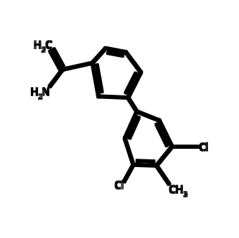 C=C(N)c1cccc(-c2cc(Cl)c(C)c(Cl)c2)c1